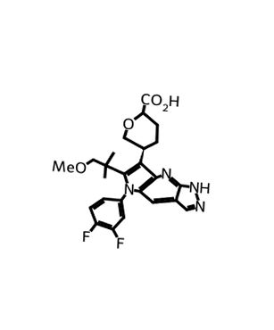 COCC(C)(C)c1c([C@@H]2CCC(C(=O)O)OC2)c2nc3[nH]ncc3cc2n1-c1ccc(F)c(F)c1